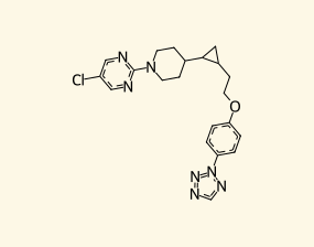 Clc1cnc(N2CCC(C3CC3CCOc3ccc(-n4ncnn4)cc3)CC2)nc1